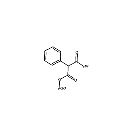 CCCCCCCCOC(=O)C(C(=O)CCC)c1ccccc1